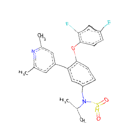 Cc1cc(-c2cc(N(C(C)C)[SH](=O)=O)ccc2Oc2ccc(F)cc2F)cc(C)n1